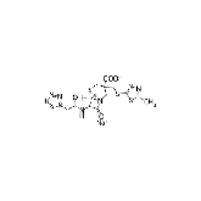 Cc1nnc(SCC2(C(=O)[O-])CS[C@@H]3C(NC(=O)Cn4cnnn4)C(=O)N3C2)s1.[Na+]